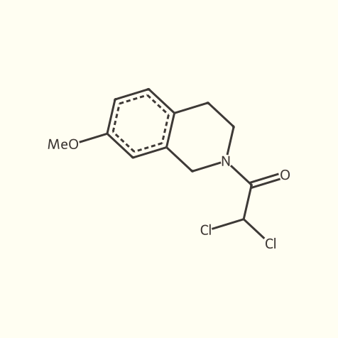 COc1ccc2c(c1)CN(C(=O)C(Cl)Cl)CC2